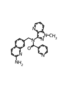 Cn1nc(N(Cc2ccc3ccc(N)nc3c2)C(=O)c2cccnc2)c2ncccc21